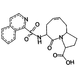 O=C(O)C1CCC2CC=CCC(NS(=O)(=O)c3nccc4ccccc34)C(=O)N21